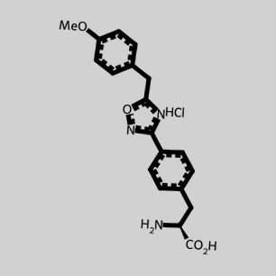 COc1ccc(Cc2nc(-c3ccc(C[C@H](N)C(=O)O)cc3)no2)cc1.Cl